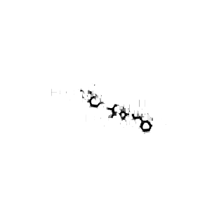 O=C(O)Cn1nc2ccc(SCC3=C(C(=O)O)N4C(=O)C(NC(=O)C(O)c5ccccc5[N+](=O)[O-])[C@@H]4SC3)nn2c1=O